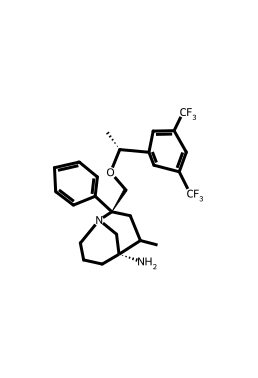 CC1C[C@@](CO[C@H](C)c2cc(C(F)(F)F)cc(C(F)(F)F)c2)(c2ccccc2)N2CCC[C@@]1(N)C2